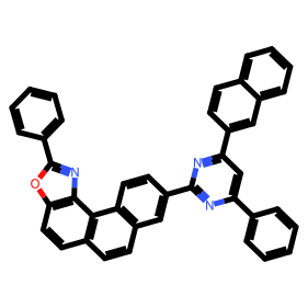 c1ccc(-c2cc(-c3ccc4ccccc4c3)nc(-c3ccc4c(ccc5ccc6oc(-c7ccccc7)nc6c54)c3)n2)cc1